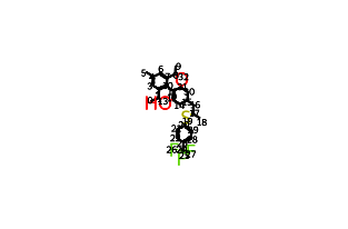 CCc1cc(C)cc(CC)c1C1=C(O)CC(CC(C)Sc2ccc(C(F)(F)F)cc2)CC1=O